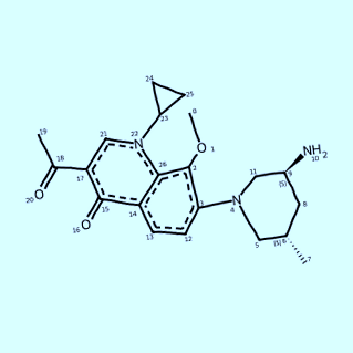 COc1c(N2C[C@@H](C)C[C@H](N)C2)ccc2c(=O)c(C(C)=O)cn(C3CC3)c12